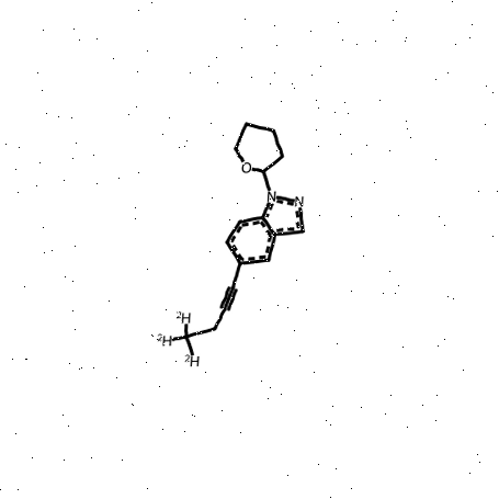 [2H]C([2H])([2H])CC#Cc1ccc2c(cnn2C2CCCCO2)c1